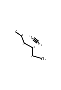 CCCCCCl.N#N